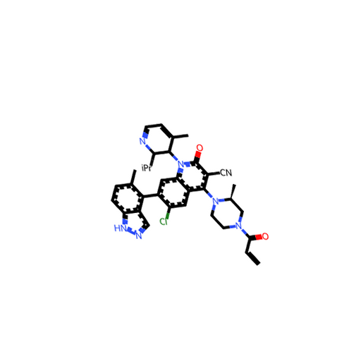 C=CC(=O)N1CCN(c2c(C#N)c(=O)n(C3C(C)=CC=NC3C(C)C)c3cc(-c4c(C)ccc5[nH]ncc45)c(Cl)cc23)[C@@H](C)C1